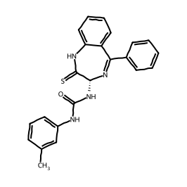 Cc1cccc(NC(=O)N[C@H]2N=C(c3ccccc3)c3ccccc3NC2=S)c1